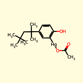 CC(=O)[O][Hg][c]1cc(C(C)(C)CC(C)(C)C)ccc1O